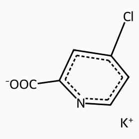 O=C([O-])c1cc(Cl)ccn1.[K+]